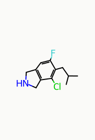 CC(C)Cc1c(F)cc2c(c1Cl)CNC2